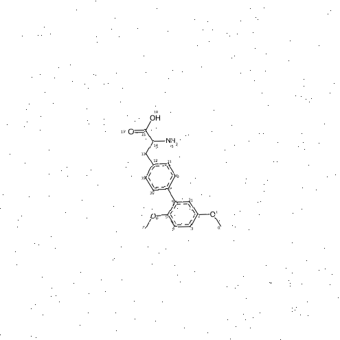 COc1ccc(OC)c(-c2ccc(CC(N)C(=O)O)cc2)c1